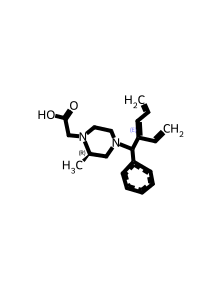 C=C/C=C(\C=C)C(c1ccccc1)N1CCN(CC(=O)O)[C@H](C)C1